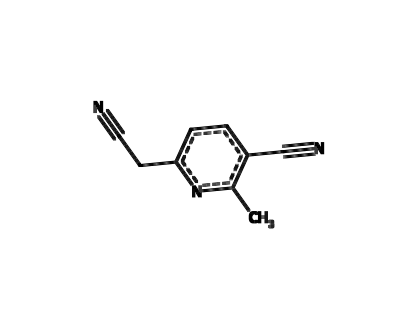 Cc1nc(CC#N)ccc1C#N